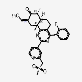 C[C@H]1C(=O)/C(=C\O)C[C@@]2(C)c3nc(-c4ccnc(CS(C)(=O)=O)c4)nc(-c4ccccc4F)c3CC[C@H]12